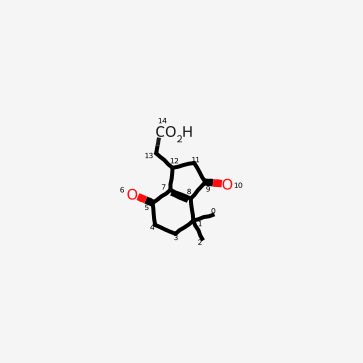 CC1(C)CCC(=O)C2=C1C(=O)CC2CC(=O)O